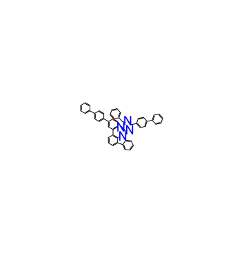 c1ccc(-c2ccc(-c3cccc(-c4cccc5c6ccccc6n(-c6nc(-c7ccccc7)nc(-c7ccc(-c8ccccc8)cc7)n6)c45)c3)cc2)cc1